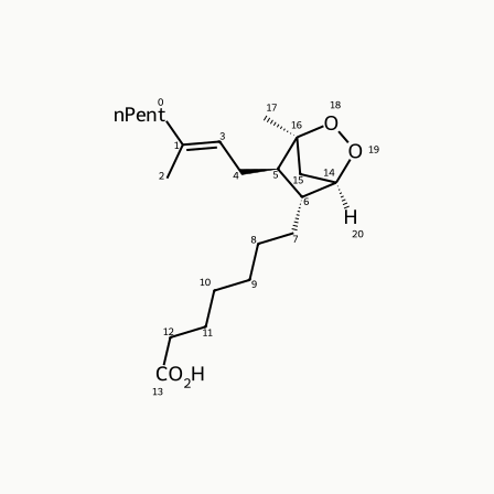 CCCCCC(C)=CC[C@@H]1[C@@H](CCCCCCC(=O)O)[C@H]2C[C@]1(C)OO2